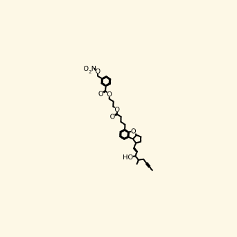 CC#CCC(C)C(O)/C=C/C1CCC2Oc3c(CCCC(=O)OCCCOC(=O)c4cccc(CO[N+](=O)[O-])c4)cccc3C12